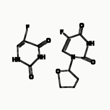 O=c1[nH]c(=O)n(C2CCCO2)cc1F.O=c1[nH]cc(F)c(=O)[nH]1